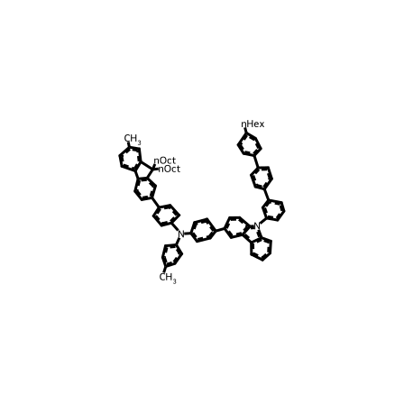 CCCCCCCCC1(CCCCCCCC)c2cc(C)ccc2-c2ccc(-c3ccc(N(c4ccc(C)cc4)c4ccc(-c5ccc6c(c5)c5ccccc5n6-c5cccc(-c6ccc(-c7ccc(CCCCCC)cc7)cc6)c5)cc4)cc3)cc21